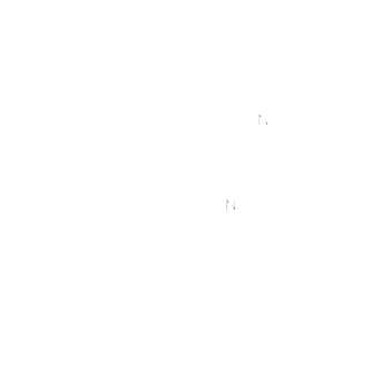 c1ccc(-c2cc(-c3ccccc3)c(-c3ccc(-n4c5ccccc5c5cc(-n6c7ccccc7c7ccccc76)ccc54)cc3)cc2-c2ccccc2)cc1